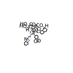 C[C@H]([C@H](C/C=C/C1=Nc2ccccc2C1)c1ccc2c(c1)OCO2)N(Cc1ccc2ccccc2c1)C(=O)[C@H]1OC(C(=O)O)(C(=O)O)O[C@H]1C(=O)O